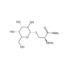 CNC(=O)[C@H](CS[C@@H]1OC(CO)[C@H](O)[C@H](O)C1O)NC(C)=O